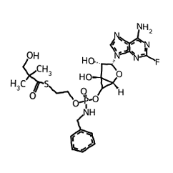 CC(C)(CO)C(=O)SCCOP(=O)(NCc1ccccc1)OC1[C@H]2O[C@@H](n3cnc4c(N)nc(F)nc43)[C@@H](O)[C@@]12O